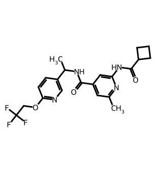 Cc1cc(C(=O)NC(C)c2ccc(OCC(F)(F)F)nc2)cc(NC(=O)C2CCC2)n1